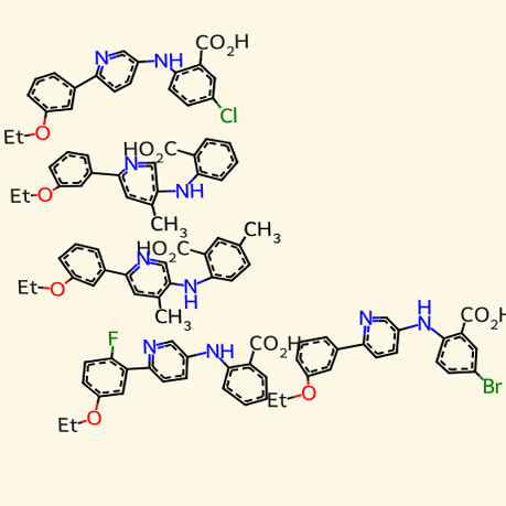 CCOc1ccc(F)c(-c2ccc(Nc3ccccc3C(=O)O)cn2)c1.CCOc1cccc(-c2cc(C)c(Nc3ccc(C)cc3C(=O)O)cn2)c1.CCOc1cccc(-c2cc(C)c(Nc3ccccc3C(=O)O)cn2)c1.CCOc1cccc(-c2ccc(Nc3ccc(Br)cc3C(=O)O)cn2)c1.CCOc1cccc(-c2ccc(Nc3ccc(Cl)cc3C(=O)O)cn2)c1